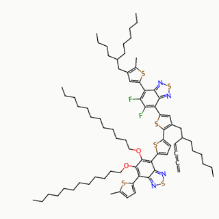 C=C=C=CC(CCCCCC)Cc1cc(-c2c(F)c(F)c(-c3cc(CC(CCCC)CCCCCC)c(C)s3)c3nsnc23)sc1-c1ccc(-c2c(OCCCCCCCCCCCC)c(OCCCCCCCCCCCC)c(-c3ccc(C)s3)c3nsnc23)s1